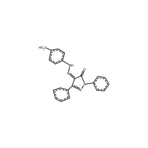 O=C1/C(=N\Nc2ccc(S(=O)(=O)O)cc2)C(c2ccccc2)=NN1c1ccccc1